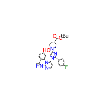 C[C@H](Nc1nccc(-n2cc([N+]3(O)CCC(C(=O)OC(C)(C)C)CC3)nc2-c2ccc(F)cc2)n1)c1ccccc1